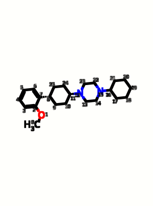 COc1ccccc1[C@H]1CC[C@H](N2CCN(C3CCCCC3)CC2)CC1